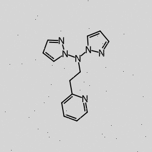 c1ccc(CCN(n2cccn2)n2cccn2)nc1